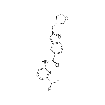 O=C(Nc1cccc(C(F)F)n1)c1ccc2nn(CC3CCOC3)cc2c1